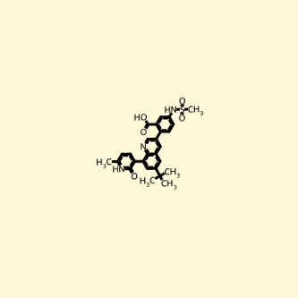 Cc1ccc(-c2cc(C(C)(C)C)cc3cc(-c4ccc(NS(C)(=O)=O)cc4C(=O)O)cnc23)c(=O)[nH]1